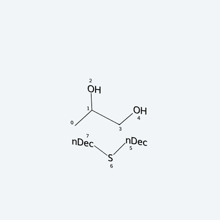 CC(O)CO.CCCCCCCCCCSCCCCCCCCCC